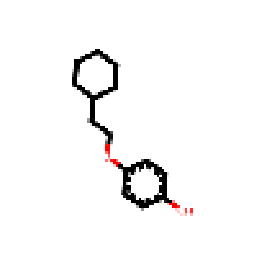 Oc1ccc(OCCC2CCCCC2)cc1